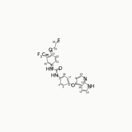 O=C(Nc1ccc(Oc2ccnc3[nH]ccc23)cc1)Nc1ccc(OCCF)c(C(F)(F)F)c1